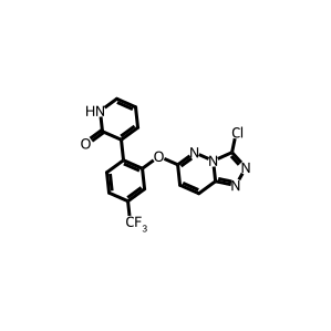 O=c1[nH]cccc1-c1ccc(C(F)(F)F)cc1Oc1ccc2nnc(Cl)n2n1